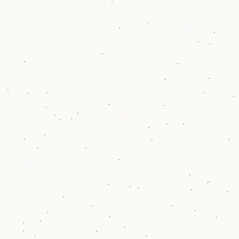 CCCCC(CCCCCC(C)C)OC(=O)c1ccc(C(=O)O)cc1